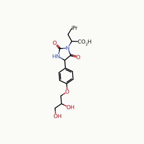 CC(C)CC(C(=O)O)N1C(=O)NC(c2ccc(OCC(O)CO)cc2)C1=O